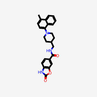 Cc1ccc(N2CCC(CNC(=O)c3ccc4[nH]c(=O)oc4c3)CC2)c2ccccc12